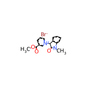 COC(=O)c1ccc[n+](C2C(=O)N(C)c3ccccc32)c1.[Br-]